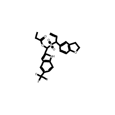 C=CC(c1ccc2c(c1)CCO2)S(=O)(=O)C(OC(=O)CC)c1cc2cc(C(F)(F)F)ccc2[nH]1